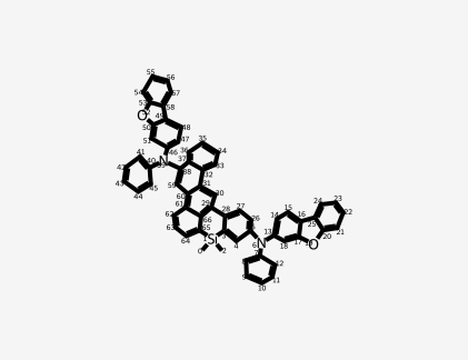 C[Si]1(C)c2cc(N(c3ccccc3)c3ccc4c(c3)oc3ccccc34)ccc2-c2cc3c4ccccc4c(N(c4ccccc4)c4ccc5c(c4)oc4ccccc45)cc3c3cccc1c23